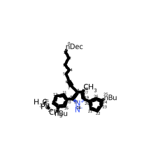 CCCCCCCCCCCCCCCC#CC1=C(c2cccc(CCCC)c2)[N+](=[N-])C(c2cccc(CCCC)c2)=C1C.[CH3][Pd][CH3]